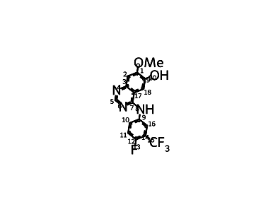 COc1cc2ncnc(Nc3ccc(F)c(C(F)(F)F)c3)c2cc1O